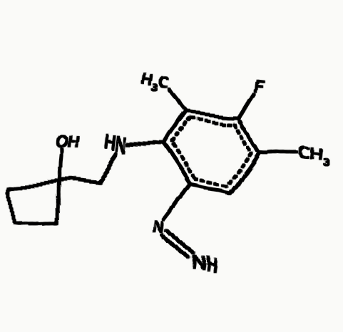 Cc1cc(N=N)c(NCC2(O)CCC2)c(C)c1F